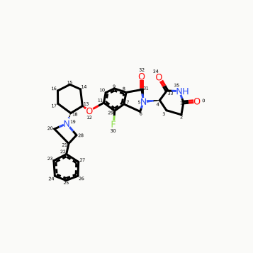 O=C1CC[C@@H](N2Cc3c(ccc(O[C@@H]4CCCC[C@H]4N4CC(c5ccccc5)C4)c3F)C2=O)C(=O)N1